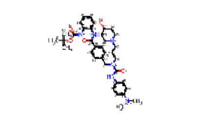 CN(C)c1ccc(NC(=O)N(CCCN2CCC(O)CC2)Cc2ccc(C(=O)Nc3ccccc3NC(=O)OC(C)(C)C)cc2)cc1